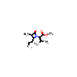 C=CCC1C(C)C(=O)N1C(C(=O)OC)=C(C)C